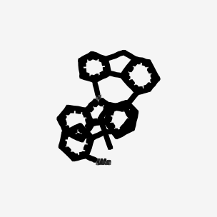 CSc1ccccc1C1(C)C=CC(c2cccc3c2-c2c(cccc2-n2c4ccccc4c4ccccc42)C3)=CC1